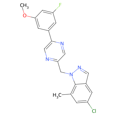 COc1cc(F)cc(-c2cnc(Cn3ncc4cc(Cl)cc(C)c43)cn2)c1